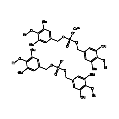 CCOc1c(C(C)(C)C)cc(COP(=O)([O-])OCc2cc(C(C)(C)C)c(OCC)c(C(C)(C)C)c2)cc1C(C)(C)C.CCOc1c(C(C)(C)C)cc(COP(=O)([O-])OCc2cc(C(C)(C)C)c(OCC)c(C(C)(C)C)c2)cc1C(C)(C)C.[Ca+2]